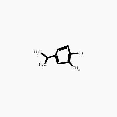 Cc1cc(C(C)C)cc[c]1[Ru]